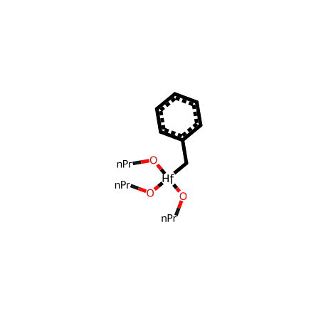 CCC[O][Hf]([CH2]c1ccccc1)([O]CCC)[O]CCC